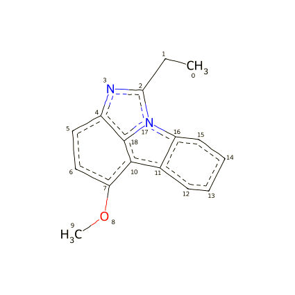 CCc1nc2ccc(OC)c3c4ccccc4n1c23